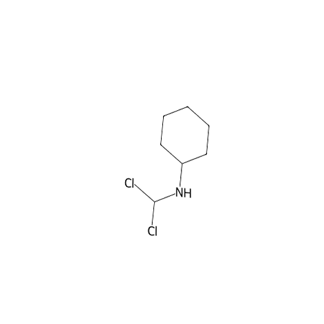 ClC(Cl)NC1CCCCC1